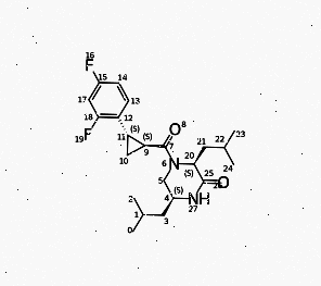 CC(C)C[C@H]1CN(C(=O)[C@H]2C[C@@H]2c2ccc(F)cc2F)[C@@H](CC(C)C)C(=O)N1